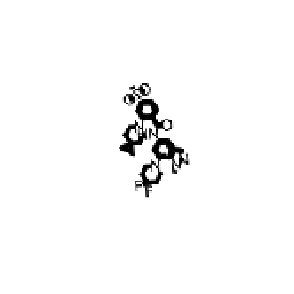 Cn1ncc2cc(NC(=O)c3ccc(S(C)(=O)=O)cc3N3CCC4(CC3)CC4)cc(N3CCC(F)(F)CC3)c21